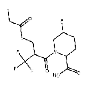 CCC(=O)SCC(C(=O)N1CC(F)CCC1C(=O)O)C(F)(F)F